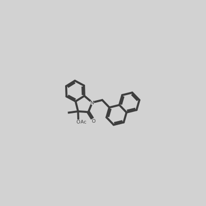 CC(=O)OC1(C)C(=O)N(Cc2cccc3ccccc23)c2ccccc21